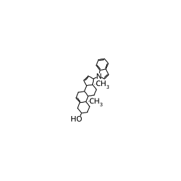 C[C@]12CCC3C(CC=C4C[C@H](O)CC[C@@]43C)C1C=CC2n1ccc2ccccc21